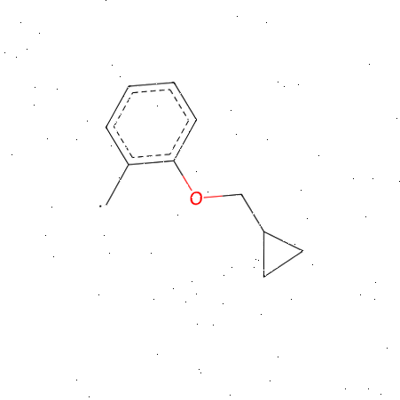 [CH2]c1ccccc1OCC1CC1